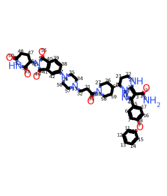 NC(=O)c1c(-c2ccc(Oc3ccccc3)cc2)nn2c1NCC[C@H]2C1CCN(C(=O)CCN2CCN(c3ccc4c(c3)C(=O)N(C3CCC(=O)NC3=O)C4=O)CC2)CC1